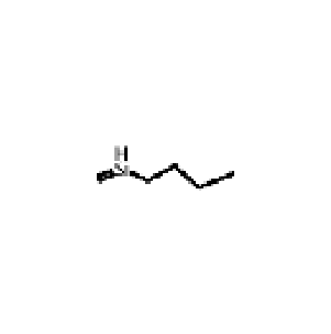 C=[SiH]CCCC